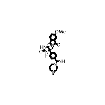 COc1ccc2c(c1)C(=O)N(C[C@@]1(c3ccc(C(=N)N4CCCN(C)CC4)cc3)NC(=O)NC1=O)C2